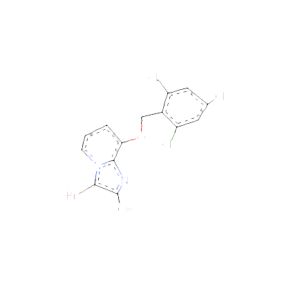 Cc1nc2c(OCc3c(Cl)cc(Cl)cc3Cl)cccn2c1Br